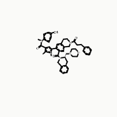 Cc1c(C(=O)N(C)c2ccc(O)cc2)cc(-c2cc3c(cc2C(=O)N2Cc4ccccc4C[C@H]2CN2CCOCC2)CN(C(=O)CCc2ccccc2)CC3)n1C